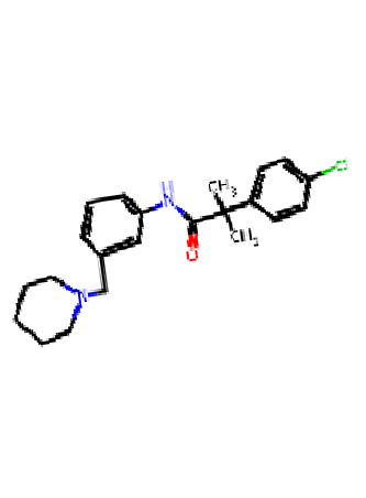 CC(C)(C(=O)Nc1cccc(CN2CCCCC2)c1)c1ccc(Cl)cc1